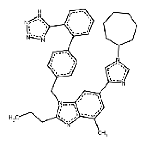 CCCc1nc2c(C)cc(-c3cn(C4CCCCCC4)cn3)cc2n1Cc1ccc(-c2ccccc2-c2nnn[nH]2)cc1